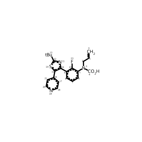 C=CCN(C(=O)O)c1cccc(-c2nc(C(C)(C)C)sc2-c2ccncc2)c1F